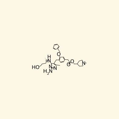 Cc1nc(N)nc(N[C@@H](C)CCCO)c1Cc1ccc(CC(=O)OCC2CCN(C)CC2)cc1OCc1ccccc1